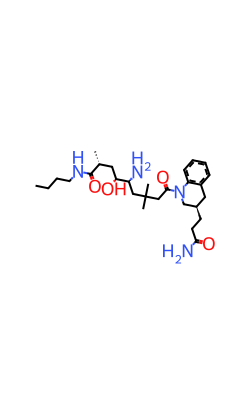 CCCCNC(=O)[C@H](C)C[C@H](O)[C@@H](N)CC(C)(C)CC(=O)N1C[C@H](CCC(N)=O)Cc2ccccc21